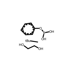 CC(C)(C)C.OB(O)Oc1ccccc1.OCCO